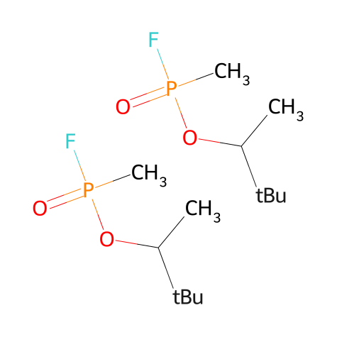 CC(OP(C)(=O)F)C(C)(C)C.CC(OP(C)(=O)F)C(C)(C)C